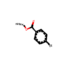 CCCCCCOC(=O)c1ccc(CC)cc1